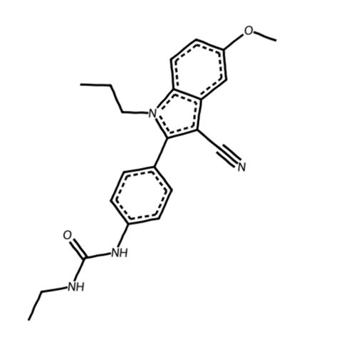 CCCn1c(-c2ccc(NC(=O)NCC)cc2)c(C#N)c2cc(OC)ccc21